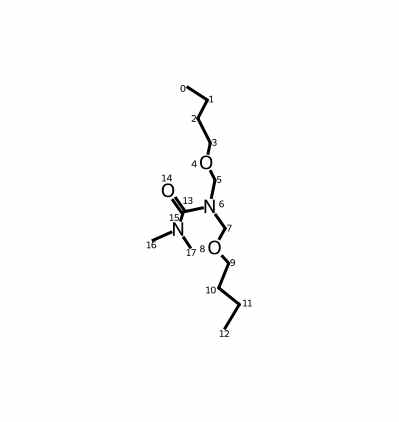 CCCCOCN(COCCCC)C(=O)N(C)C